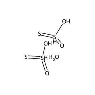 O.O=[SH](O)=S.O=[SH](O)=S